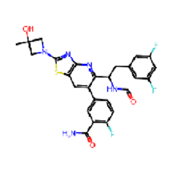 CC1(O)CN(c2nc3nc(C(Cc4cc(F)cc(F)c4)NC=O)c(-c4ccc(F)c(C(N)=O)c4)cc3s2)C1